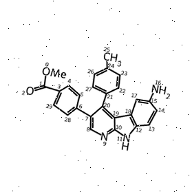 COC(=O)c1ccc(-c2cnc3[nH]c4ccc(N)cc4c3c2-c2ccc(C)cc2)cc1